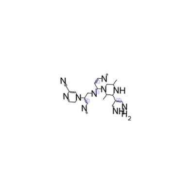 C=N/C=C\C(=N/C/C(=C/N=C)N1C=C(C#N)N=CC1)N1CC(C)NC(/C(C=N)=C/N)C1C